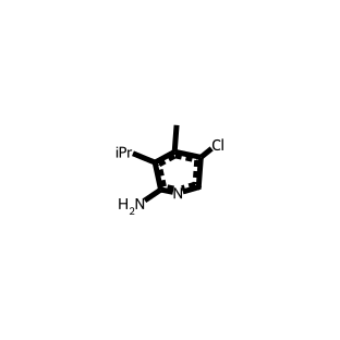 Cc1c(Cl)cnc(N)c1C(C)C